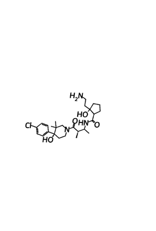 CC(NC(=O)C1CCCC1(O)CCN)[C@@H](C)C(=O)N1CC[C@](O)(c2ccc(Cl)cc2)C(C)(C)C1